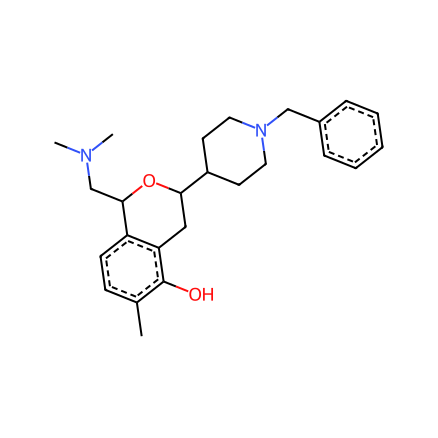 Cc1ccc2c(c1O)CC(C1CCN(Cc3ccccc3)CC1)OC2CN(C)C